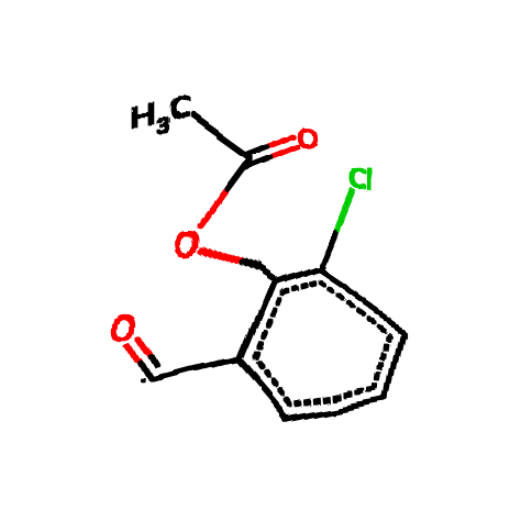 CC(=O)Oc1c(Cl)cccc1[C]=O